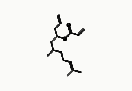 C=CCC(CC(C)CCC=C(C)C)OC(=O)C=C